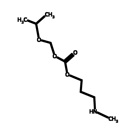 CNCCCOC(=O)OCOC(C)C